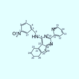 O=[N+]([O-])c1cccc(CNc2nc(-c3ccccn3)nc3sc4c(c23)CCCC4)c1